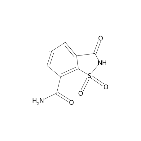 NC(=O)c1c[c]cc2c1S(=O)(=O)NC2=O